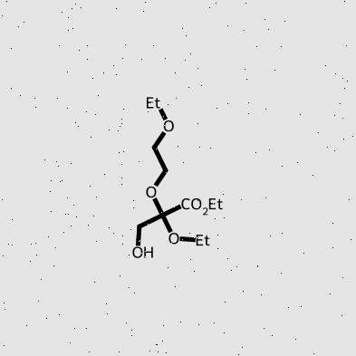 CCOCCOC(CO)(OCC)C(=O)OCC